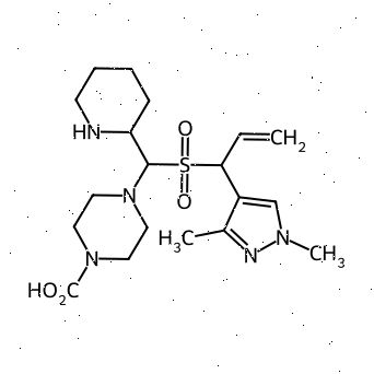 C=CC(c1cn(C)nc1C)S(=O)(=O)C(C1CCCCN1)N1CCN(C(=O)O)CC1